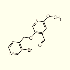 COc1cc(C=O)c(OCc2ccncc2Br)cn1